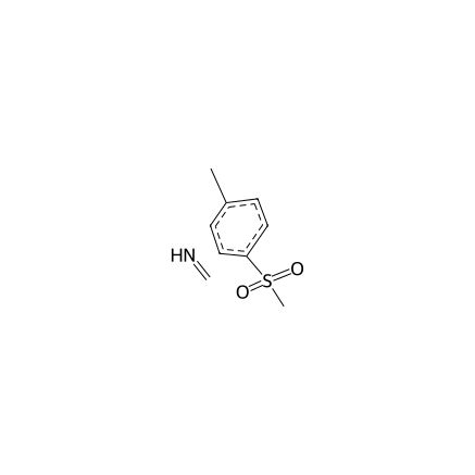 C=N.Cc1ccc(S(C)(=O)=O)cc1